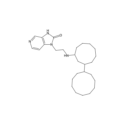 O=c1[nH]c2cnccc2n1CCNC1CCCCCCC(C2CCCCCCCCC2)C1